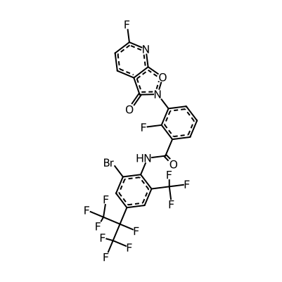 O=C(Nc1c(Br)cc(C(F)(C(F)(F)F)C(F)(F)F)cc1C(F)(F)F)c1cccc(-n2oc3nc(F)ccc3c2=O)c1F